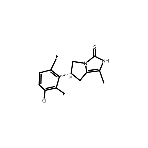 Cc1[nH]c(=S)n2c1C[C@H](c1c(F)ccc(Cl)c1F)C2